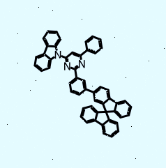 c1ccc(-c2cc(-n3c4ccccc4c4ccccc43)nc(-c3cccc(-c4ccc5c(c4)C4(c6ccccc6-c6ccccc64)c4ccccc4-5)c3)n2)cc1